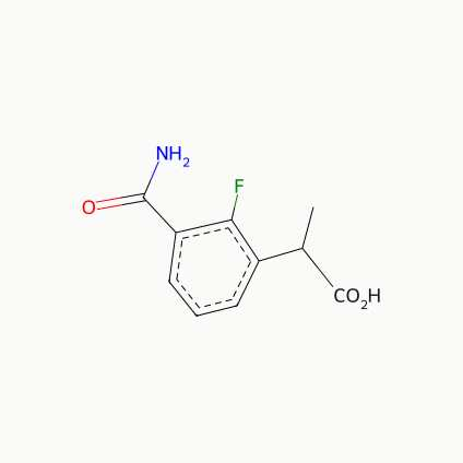 CC(C(=O)O)c1cccc(C(N)=O)c1F